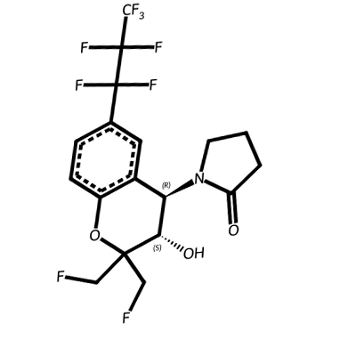 O=C1CCCN1[C@@H]1c2cc(C(F)(F)C(F)(F)C(F)(F)F)ccc2OC(CF)(CF)[C@H]1O